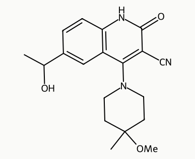 COC1(C)CCN(c2c(C#N)c(=O)[nH]c3ccc(C(C)O)cc23)CC1